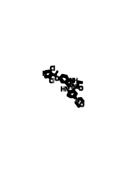 CCC(=O)Nc1cc(N2CCOCC2)ccc1Nc1n[nH]c2ccc(O[C@H](C)c3c(Cl)cncc3Cl)cc12